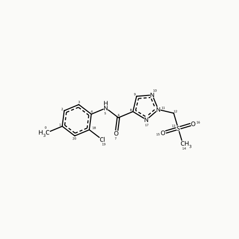 Cc1ccc(NC(=O)c2cnn(CS(C)(=O)=O)n2)c(Cl)c1